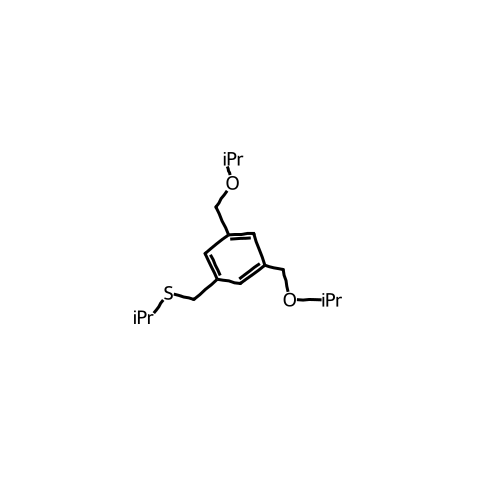 CC(C)OCc1cc(COC(C)C)cc(CSC(C)C)c1